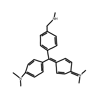 CNCc1ccc(C(=C2C=CC(=[N+](C)C)C=C2)c2ccc(N(C)C)cc2)cc1